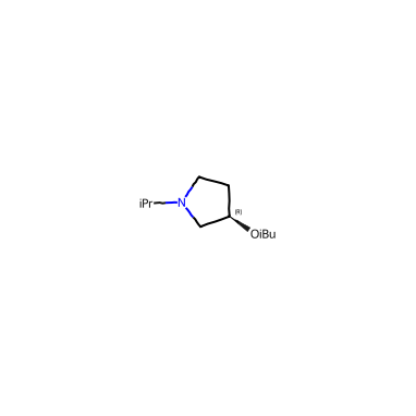 CC(C)CO[C@@H]1CCN(C(C)C)C1